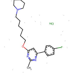 Cc1nc(OCCCCCCN2CCCCC2)cc(-c2ccc(F)cc2)n1.Cl